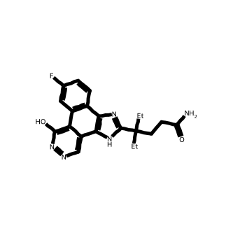 CCC(CC)(CCC(N)=O)c1nc2c3ccc(F)cc3c3c(O)nncc3c2[nH]1